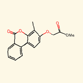 COC(=O)COc1ccc2c(oc(=O)c3ccccc32)c1C